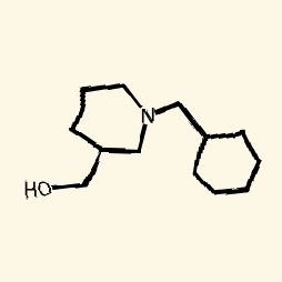 OC[C@H]1CCCN(CC2CCCCC2)C1